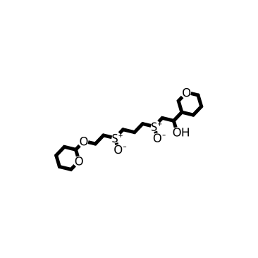 [O-][S+](CCC[S+]([O-])CC(O)C1CCCOC1)CCOC1CCCCO1